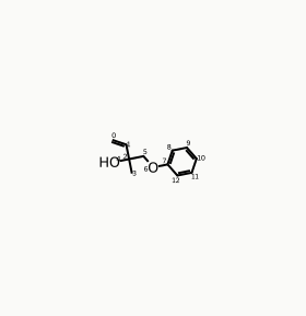 C=CC(C)(O)COc1ccccc1